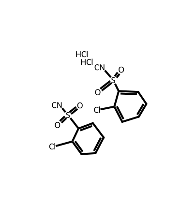 Cl.Cl.[C-]#[N+]S(=O)(=O)c1ccccc1Cl.[C-]#[N+]S(=O)(=O)c1ccccc1Cl